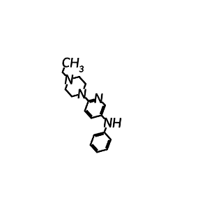 CCN1CCN(c2ccc(Nc3ccccc3)cn2)CC1